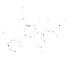 Cc1cc(F)cc(C)c1-c1cc(C(CC(=O)O)N[S@+]([O-])C(C)(C)C)c(F)c(C(F)(F)F)c1